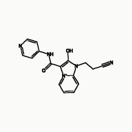 N#CCCn1c(O)c(C(=O)Nc2ccncc2)[n+]2ccccc12